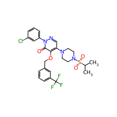 CC(C)S(=O)(=O)N1CCN(c2cnn(-c3cccc(Cl)c3)c(=O)c2OCc2cccc(C(F)(F)F)c2)CC1